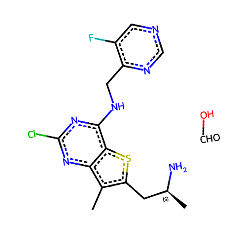 Cc1c(C[C@H](C)N)sc2c(NCc3ncncc3F)nc(Cl)nc12.O=CO